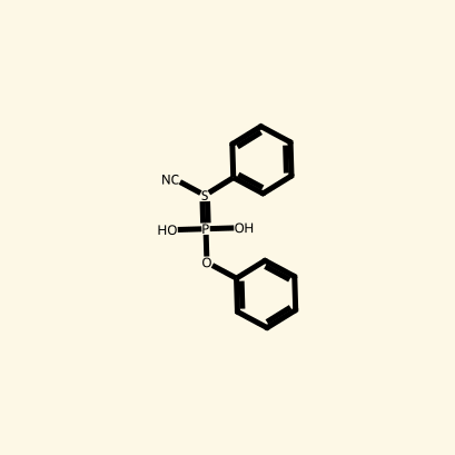 N#CS(c1ccccc1)=P(O)(O)Oc1ccccc1